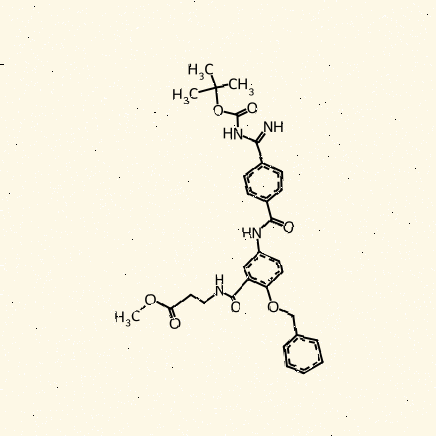 COC(=O)CCNC(=O)c1cc(NC(=O)c2ccc(C(=N)NC(=O)OC(C)(C)C)cc2)ccc1OCc1ccccc1